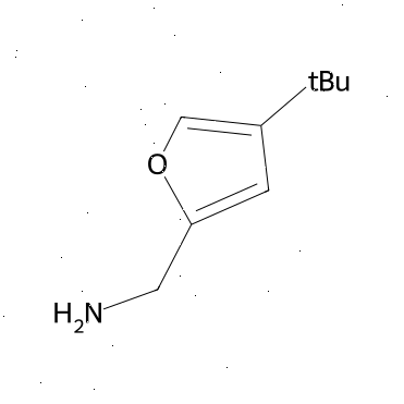 CC(C)(C)c1coc(CN)c1